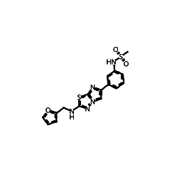 CS(=O)(=O)Nc1cccc(-c2cn3nc(NCc4ccco4)sc3n2)c1